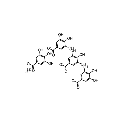 O=C([O-])c1cc(O)c(O)c(O)c1.O=C([O-])c1cc(O)c(O)c(O)c1.O=C([O-])c1cc(O)c(O)c(O)c1.O=C([O-])c1cc(O)c(O)c(O)c1.[La+3].[Li+]